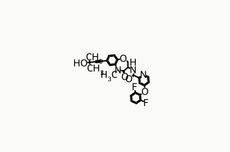 CN1C(=O)C(NC(=O)c2cc(Oc3c(F)cccc3F)ccn2)COc2ccc(C#CC(C)(C)O)cc21